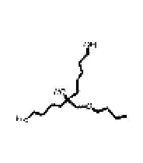 CCCCOCC(O)(CCCCO)CCCCCO